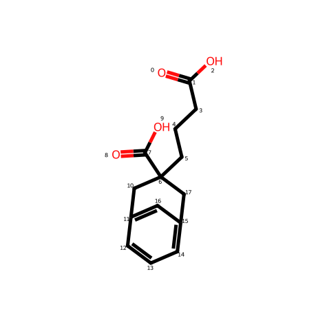 O=C(O)CCCC1(C(=O)O)Cc2cccc(c2)C1